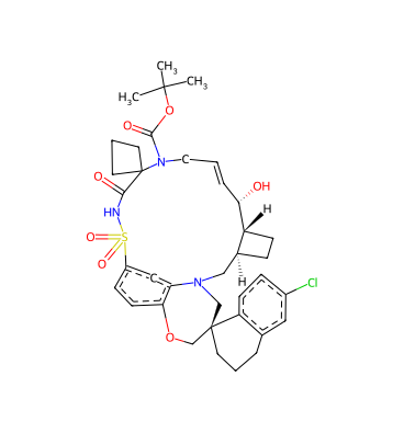 CC(C)(C)OC(=O)N1C/C=C/[C@H](O)[C@@H]2CC[C@H]2CN2C[C@@]3(CCCc4cc(Cl)ccc43)COc3ccc(cc32)S(=O)(=O)NC(=O)C12CCC2